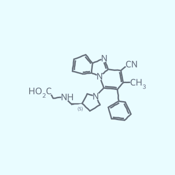 Cc1c(-c2ccccc2)c(N2CC[C@@H](CNCC(=O)O)C2)n2c(nc3ccccc32)c1C#N